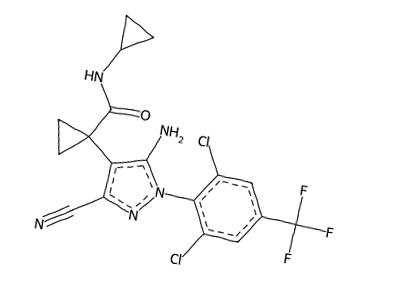 N#Cc1nn(-c2c(Cl)cc(C(F)(F)F)cc2Cl)c(N)c1C1(C(=O)NC2CC2)CC1